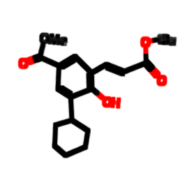 COC(=O)c1cc(C=CC(=O)OC(C)(C)C)c(O)c(C2CCCCC2)c1